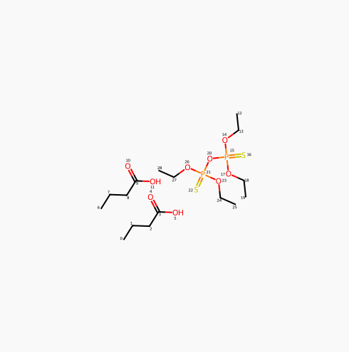 CCCC(=O)O.CCCC(=O)O.CCOP(=S)(OCC)OP(=S)(OCC)OCC